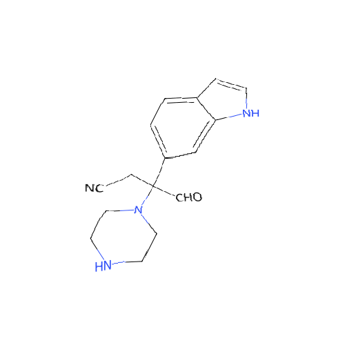 N#CCC(C=O)(c1ccc2cc[nH]c2c1)N1CCNCC1